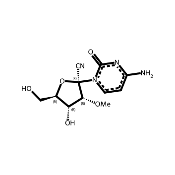 CO[C@@H]1[C@H](O)[C@@H](CO)O[C@@]1(C#N)n1ccc(N)nc1=O